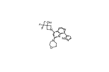 OC1(C(F)(F)F)CN(c2cc(N3CCOCC3)nc3c(-c4ccn[nH]4)nccc23)C1